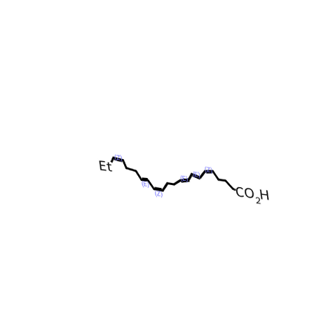 CC/C=C\CC/C=C/C=C\CC/C=C/C=C/C=C\CCCC(=O)O